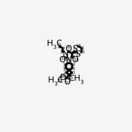 CCCCN1C(=O)C(=C2SCCCS2)C(=O)N(C2CCC3(CC2)CC(C)(C(=O)OC)C3)C1=O